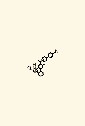 C=C(c1cc(-c2ncc(COC)[nH]2)c(C2CCCCC2)cc1C)N1CCC(c2ccc(C#N)cc2)CC1